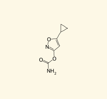 NC(=O)Oc1cc(C2CC2)on1